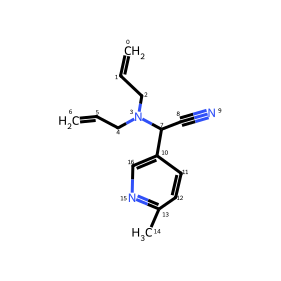 C=CCN(CC=C)C(C#N)c1ccc(C)nc1